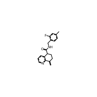 C=C1CCC(C(=O)NCc2ccc(C)cc2F)c2cccnc21